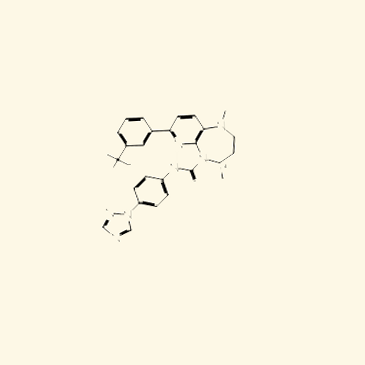 C[C@@H]1CCN(C)c2ccc(-c3cccc(C(F)(F)F)c3)nc2N1C(=O)Nc1ccc(-n2cncn2)cc1